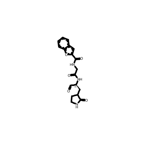 O=C[C@H](CC1CCNC1=O)NC(=O)CNC(=O)c1cc2ccccc2o1